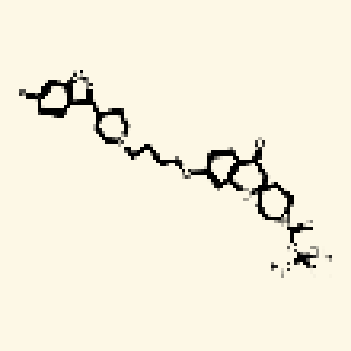 CC(C)(C)OC(=O)N1CCC2(CC1)CC(=O)c1ccc(OCCCCN3CCC(c4noc5cc(F)ccc45)CC3)cc1O2